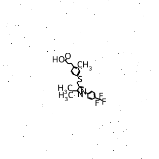 Cc1cc(SCc2cn(-c3ccc(C(F)(F)F)cc3)nc2C(C)C)ccc1CCC(=O)O